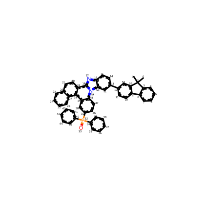 CC1(C)c2ccccc2-c2ccc(-c3ccc4nc5c6ccc7ccccc7c6c6cc(P(=O)(c7ccccc7)c7ccccc7)ccc6n5c4c3)cc21